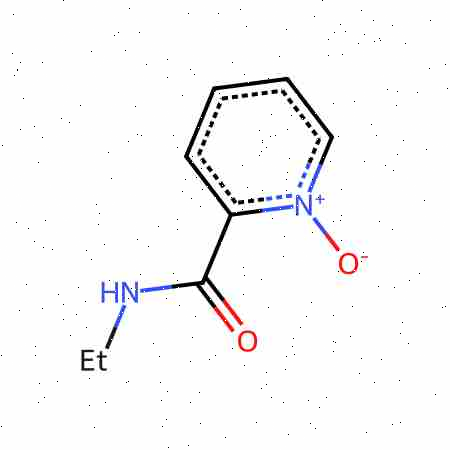 CCNC(=O)c1cccc[n+]1[O-]